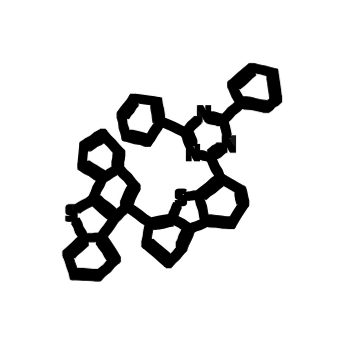 c1ccc(-c2nc(-c3ccccc3)nc(-c3cccc4c3sc3c(-c5cc6ccccc6c6sc7ccccc7c56)cccc34)n2)cc1